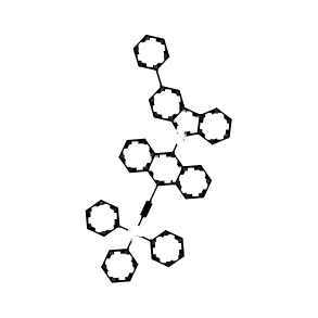 C(#C[Si](c1ccccc1)(c1ccccc1)c1ccccc1)c1c2ccccc2c(-n2c3ccccc3c3cc(-c4ccccc4)ccc32)c2ccccc12